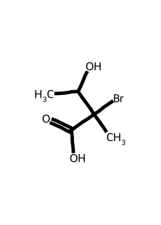 CC(O)C(C)(Br)C(=O)O